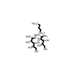 N[C@@H](C=O)[C@@H](O)[C@H](O)[C@H](O)CO.N[C@@H](C=O)[C@@H](O)[C@H](O)[C@H](O)CO.O=C(O)CCCC(=O)O